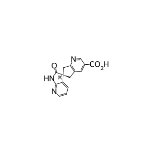 O=C(O)c1cnc2c(c1)C[C@]1(C2)C(=O)Nc2ncccc21